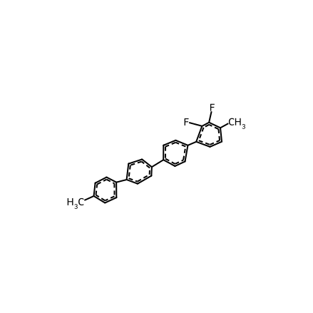 Cc1ccc(-c2ccc(-c3ccc(-c4ccc(C)c(F)c4F)cc3)cc2)cc1